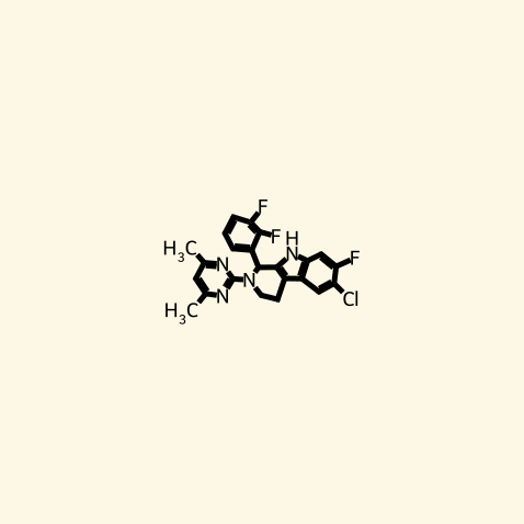 Cc1cc(C)nc(N2CCc3c([nH]c4cc(F)c(Cl)cc34)C2c2cccc(F)c2F)n1